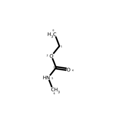 C[CH]OC(=O)NC